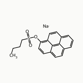 CCCCS(=O)(=O)Oc1ccc2ccc3cccc4ccc1c2c34.[Na]